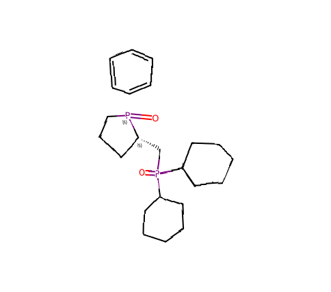 O=P(C[C@@H]1CCC[P@@]1(=O)c1ccccc1)(C1CCCCC1)C1CCCCC1